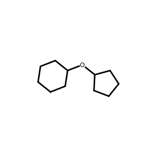 [CH]1CCCC(OC2CCCC2)C1